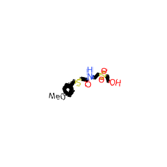 COc1ccc(CSCC(=O)NCCS(=O)(=O)CCO)cc1